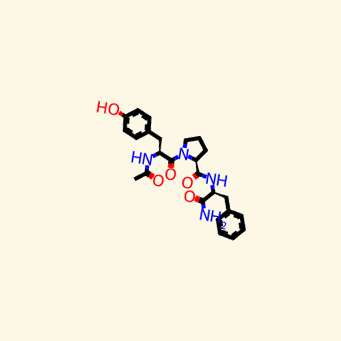 CC(=O)N[C@@H](Cc1ccc(O)cc1)C(=O)N1CCC[C@H]1C(=O)N[C@@H](Cc1ccccc1)C(N)=O